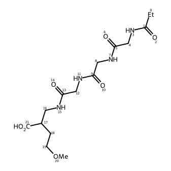 CCC(=O)NCC(=O)NCC(=O)NCC(=O)NCC(CCOC)C(=O)O